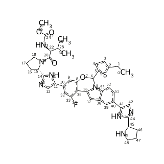 CCc1ccc(C2Oc3cc(-c4cnc([C@@H]5CCCN5C(=O)[C@@H](NC(=O)OC)C(C)C)[nH]4)cc(F)c3-c3cc4cc(-c5cnc(C6CCCN6)[nH]5)ccc4n32)s1